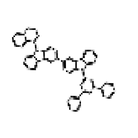 c1ccc(-c2cc(-c3ccccc3)cc(-n3c4ccccc4c4cc(-c5ccc6c(c5)c5ccccc5n6-c5cccc6ccccc56)ccc43)c2)cc1